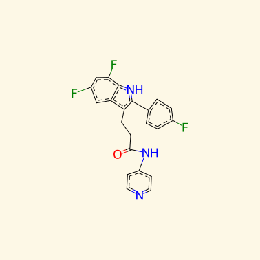 O=C(CCc1c(-c2ccc(F)cc2)[nH]c2c(F)cc(F)cc12)Nc1ccncc1